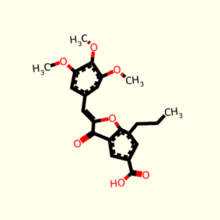 CCCc1cc(C(=O)O)cc2c1OC(=Cc1cc(OC)c(OC)c(OC)c1)C2=O